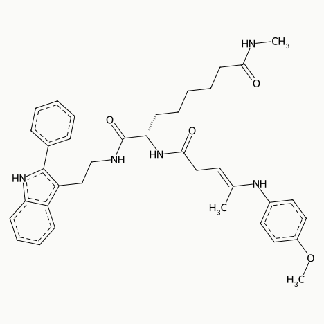 CNC(=O)CCCCC[C@H](NC(=O)C/C=C(\C)Nc1ccc(OC)cc1)C(=O)NCCc1c(-c2ccccc2)[nH]c2ccccc12